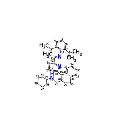 CC(C)c1cccc(C(C)C)c1N=Cc1cccc(-c2c(CNC3CCCCC3)ccc3ccccc23)n1